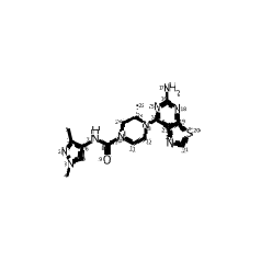 Cc1nn(C)cc1NC(=O)N1CCN(c2nc(N)nc3scnc23)[C@@H](C)C1